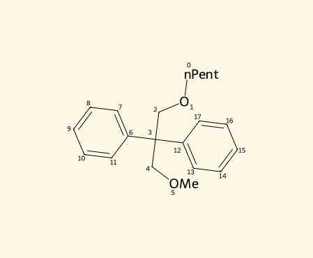 CCCCCOCC(COC)(c1ccccc1)c1ccccc1